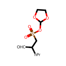 CCCC(C=O)CS(=O)(=O)OC1OCCO1